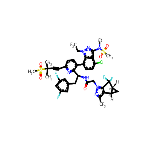 CCN(c1nn(CC(F)(F)F)c2c(-c3ccc(C#CC(C)(C)S(C)(=O)=O)nc3C(Cc3cc(F)cc(F)c3)NC(=O)Cn3nc(C(F)(F)F)c4c3C(F)(F)[C@@H]3C[C@H]43)ccc(Cl)c12)S(C)(=O)=O